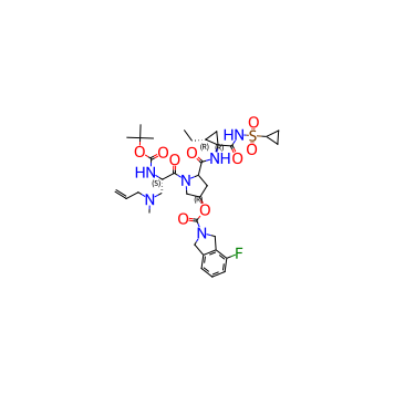 C=CCN(C)C[C@H](NC(=O)OC(C)(C)C)C(=O)N1C[C@H](OC(=O)N2Cc3cccc(F)c3C2)CC1C(=O)N[C@]1(C(=O)NS(=O)(=O)C2CC2)C[C@H]1CC